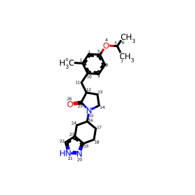 Cc1cc(OC(C)C)ccc1CC1CCN(C2CCc3n[nH]cc3C2)C1=O